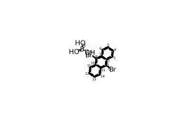 Brc1c2ccccc2c(Br)c2ccccc12.OB(O)O